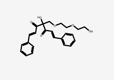 O=C(C=Cc1ccccc1)C(O)(COCCOCCO)C(=O)C=Cc1ccccc1